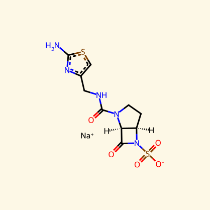 Nc1nc(CNC(=O)N2CC[C@@H]3[C@H]2C(=O)N3S(=O)(=O)[O-])cs1.[Na+]